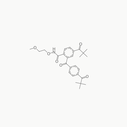 COCCONC(=O)c1ccc(C(=O)C(C)(C)C)cc1C(=O)c1ccc(C(=O)C(C)(C)C)cc1